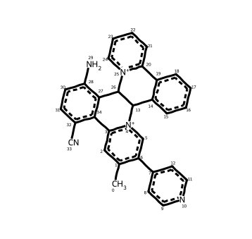 Cc1cc2[n+](cc1-c1ccncc1)C1c3ccccc3-c3cccc[n+]3C1c1c(N)ccc(C#N)c1-2